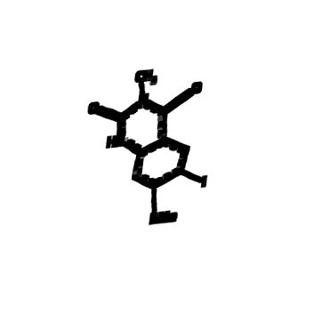 CNc1cc2[nH]c(=O)n(C)c(=O)c2cc1I